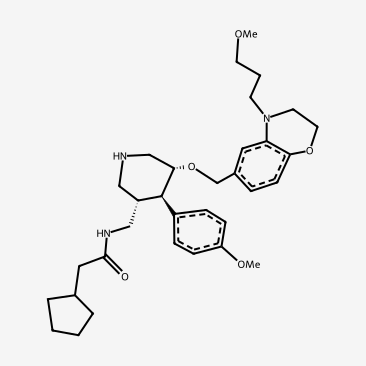 COCCCN1CCOc2ccc(CO[C@H]3CNC[C@@H](CNC(=O)CC4CCCC4)[C@@H]3c3ccc(OC)cc3)cc21